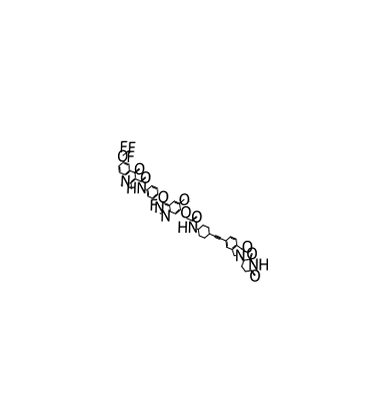 COc1cc2c(Oc3ccc(NC(=O)c4c(C)n(C)c5ccc(OC(F)(F)F)cc5c4=O)cc3F)ncnc2cc1OCC(=O)NC1CCC(C#Cc2ccc3c(c2)CN(C2CCC(=O)NC2=O)C3=O)CC1